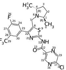 C[C@@H]1CC[C@@H](C)N1Cc1sc(NC(=O)c2cnc(Cl)cn2)nc1-c1cc(F)cc(C(F)(F)F)c1